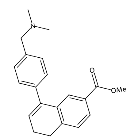 COC(=O)c1ccc2c(c1)C(c1ccc(CN(C)C)cc1)=CCC2